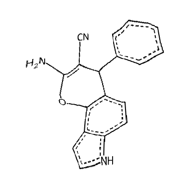 N#CC1=C(N)Oc2c(ccc3[nH]ccc23)C1c1ccccc1